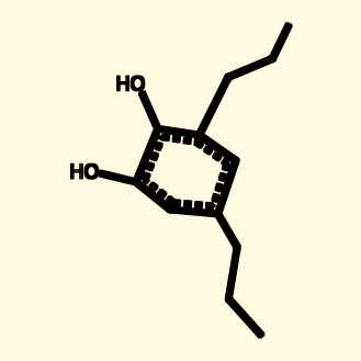 CCCc1cc(O)c(O)c(CCC)c1